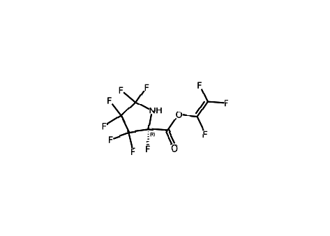 O=C(OC(F)=C(F)F)[C@]1(F)NC(F)(F)C(F)(F)C1(F)F